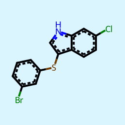 Clc1ccc2c(Sc3cccc(Br)c3)c[nH]c2c1